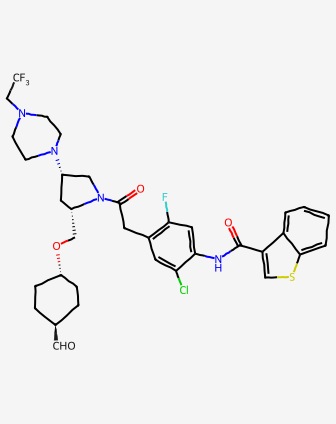 O=C[C@H]1CC[C@H](OC[C@@H]2C[C@H](N3CCN(CC(F)(F)F)CC3)CN2C(=O)Cc2cc(Cl)c(NC(=O)c3csc4ccccc34)cc2F)CC1